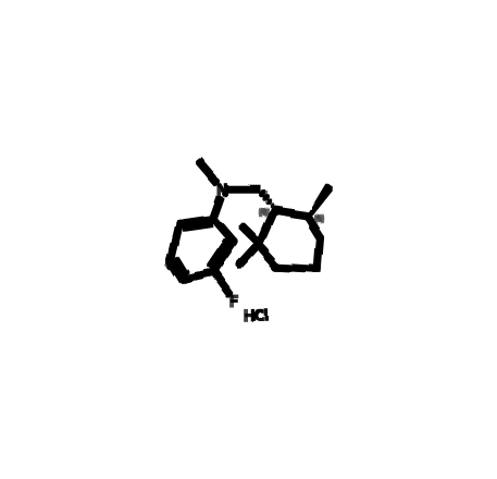 C[C@H]1CCCC(C)(C)[C@@H]1CN(C)c1cccc(F)c1.Cl